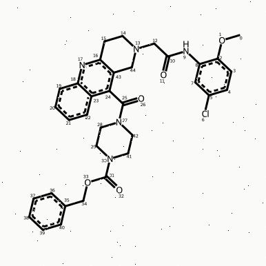 COc1ccc(Cl)cc1NC(=O)CN1CCc2nc3ccccc3c(C(=O)N3CCN(C(=O)OCc4ccccc4)CC3)c2C1